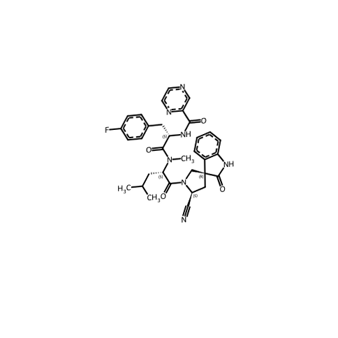 CC(C)C[C@@H](C(=O)N1C[C@]2(C[C@H]1C#N)C(=O)Nc1ccccc12)N(C)C(=O)[C@H](Cc1ccc(F)cc1)NC(=O)c1cnccn1